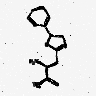 N[C@@H](Cc1ncc(-c2ccccc2)o1)C(=O)O